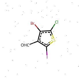 O=Cc1c(I)sc(Cl)c1Br